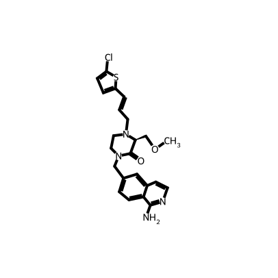 COC[C@H]1C(=O)N(Cc2ccc3c(N)nccc3c2)CCN1CC=Cc1ccc(Cl)s1